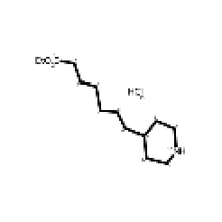 CCOC(=O)CCCCCCC1CCNCC1.Cl